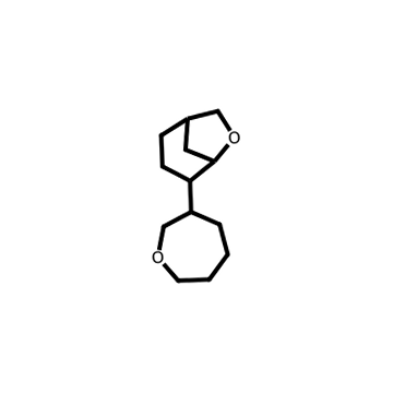 C1CCC(C2CCC3COC2C3)COC1